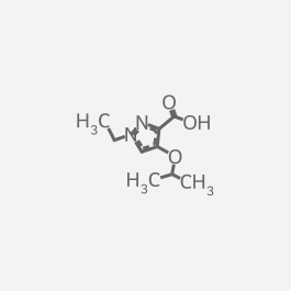 CCn1cc(OC(C)C)c(C(=O)O)n1